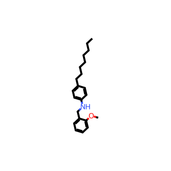 CCCCCCCCc1ccc(NCc2ccccc2OC)cc1